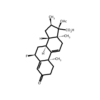 CC(=O)O[C@]1(C(=O)O)[C@H](C)C[C@H]2[C@@H]3C[C@H](F)C4=CC(=O)CC[C@]4(C)C3=CC[C@@]21C